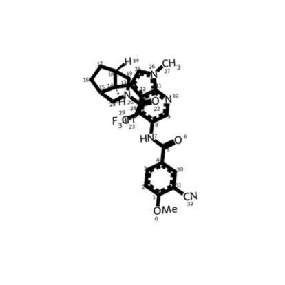 COc1ccc(C(=O)Nc2cnc3c(c([C@H]4C5CC[C@@H]4CN(C(=O)C(C)C)C5)cn3C)c2C(F)(F)F)cc1C#N